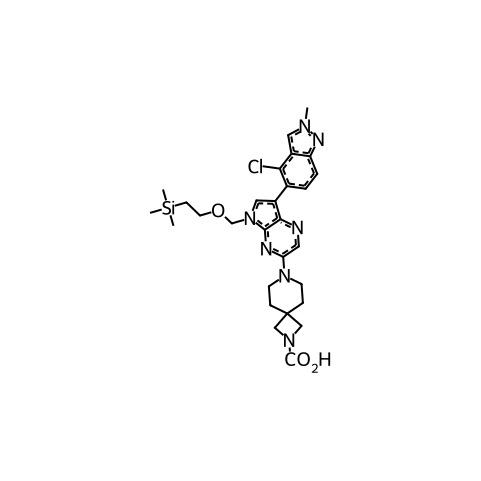 Cn1cc2c(Cl)c(-c3cn(COCC[Si](C)(C)C)c4nc(N5CCC6(CC5)CN(C(=O)O)C6)cnc34)ccc2n1